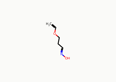 C=COCCC=NO